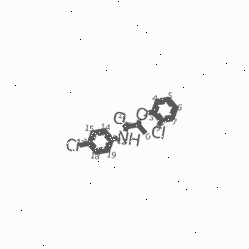 CC(Oc1ccccc1Cl)C(=O)Nc1ccc(Cl)cc1